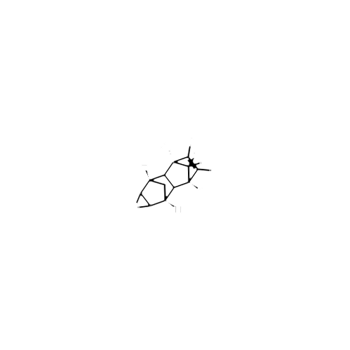 ClC1=C(Cl)[C@]2(Cl)C3C([C@@H]4C[C@H]3C3OC34)[C@]1(Cl)C2(Cl)Cl